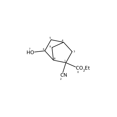 CCOC(=O)C1(C#N)CC2CC(O)C1C2